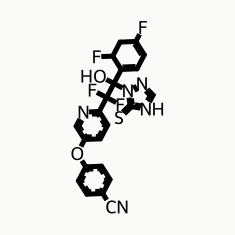 N#Cc1ccc(Oc2ccc(C(F)(F)C(O)(C3=CC=C(F)CC3F)n3nc[nH]c3=S)nc2)cc1